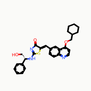 O=C1N=C(N[C@@H](CO)c2ccccc2)S/C1=C\c1ccc2nccc(OCC3CCCCC3)c2c1